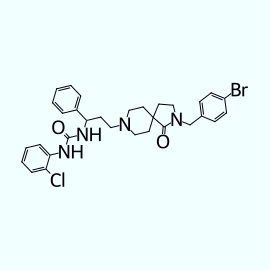 O=C(Nc1ccccc1Cl)NC(CCN1CCC2(CC1)CCN(Cc1ccc(Br)cc1)C2=O)c1ccccc1